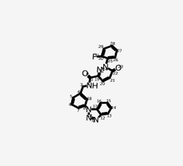 O=C(NCc1cccc(-n2nnc3ccccc32)c1)c1ccc(=O)n(-c2ccccc2F)n1